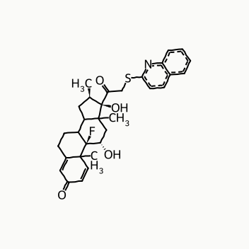 C[C@@H]1CC2C3CCC4=CC(=O)C=CC4(C)[C@@]3(F)[C@@H](O)CC2(C)[C@@]1(O)C(=O)CSc1ccc2ccccc2n1